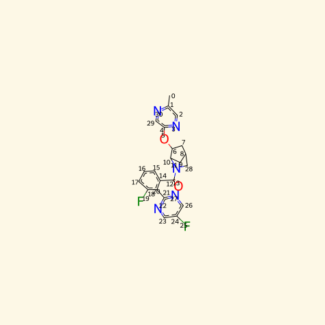 Cc1cnc(OC2CC3CC2N(C(=O)c2cccc(F)c2-c2ncc(F)cn2)C3)cn1